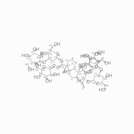 C=C1C[C@@]23CC[C@H]4[C@@](C)(CCC[C@@]4(C)C(=O)O[C@@H]4O[C@H](CO)[C@@H](O)[C@H](O[C@@H]5O[C@H](CO)[C@@H](O)[C@H](O)[C@H]5O)[C@H]4O[C@@H]4O[C@H](CO)[C@@H](O)[C@H](O)[C@H]4O)[C@@H]2CC[C@]1(O[C@@H]1O[C@H](CO)[C@@H](O)[C@H](O[C@@H]2O[C@H](CO)[C@@H](O)[C@H](O)[C@H]2O)[C@H]1O[C@@H]1O[C@H](CO)[C@@H](O)[C@H](O)[C@H]1O)C3